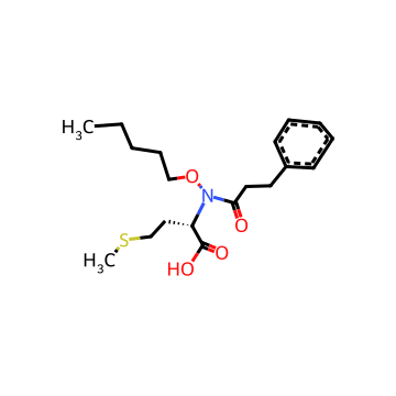 CCCCCON(C(=O)CCc1ccccc1)[C@@H](CCSC)C(=O)O